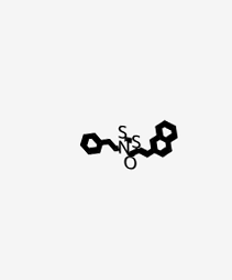 O=C1C(=Cc2ccc3ccccc3c2)SC(=S)N1CCc1ccccc1